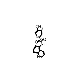 Cc1ccc(S(=O)(=O)Nc2cccc3ncccc23)nc1